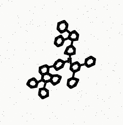 c1ccc(-c2cc(-c3ccccc3)cc(N(c3ccc(-c4cccc(-c5ccccc5)c4-c4ccccc4)cc3)c3ccc(-c4cccc5c(-c6ccccc6)c(-c6ccccc6)c6ccccc6c45)cc3)c2)cc1